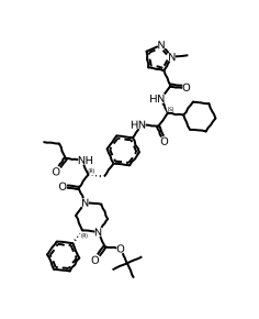 CCC(=O)N[C@H](Cc1ccc(NC(=O)[C@@H](NC(=O)c2ccnn2C)C2CCCCC2)cc1)C(=O)N1CCN(C(=O)OC(C)(C)C)[C@H](c2ccccc2)C1